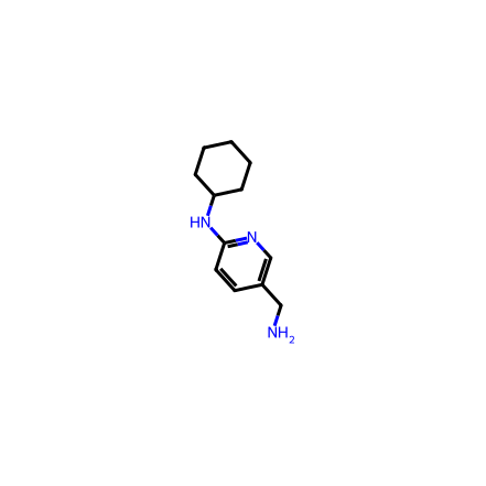 NCc1ccc(NC2CCCCC2)nc1